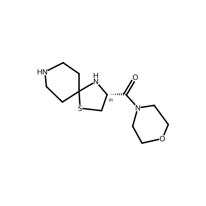 O=C([C@@H]1CSC2(CCNCC2)N1)N1CCOCC1